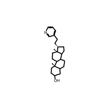 C[C@]12CCC(O)CC1CCC1C2CC[C@@]2(C)C1CC[C@@H]2CCc1cccnc1